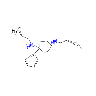 C=CCNC1CCC(NCC=C)(c2ccccc2)CC1